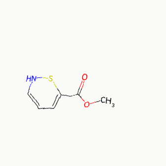 COC(=O)C1=CC=CNS1